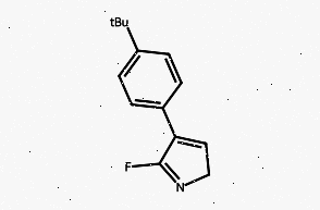 CC(C)(C)c1ccc(C2=CCN=C2F)cc1